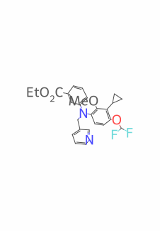 CCOC(=O)c1cccc(N(Cc2cccnc2)c2ccc(OC(F)F)c(C3CC3)c2OC)c1